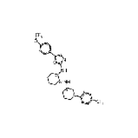 FC(F)(F)Oc1ccc(-c2cnc(N[C@@H]3CCCC[C@H]3N[C@H]3CCCN(c4ccc(C(F)(F)F)cn4)C3)o2)cc1